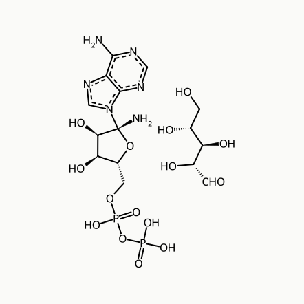 Nc1ncnc2c1ncn2[C@]1(N)O[C@H](COP(=O)(O)OP(=O)(O)O)[C@@H](O)[C@H]1O.O=C[C@H](O)[C@H](O)[C@H](O)CO